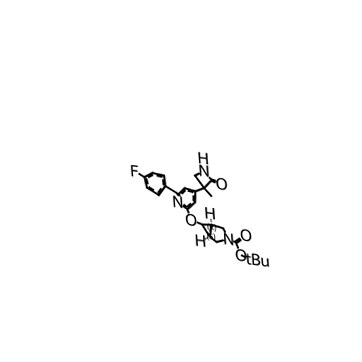 CC(C)(C)OC(=O)N1C[C@@H]2C(Oc3cc(C4(C)CNC4=O)cc(-c4ccc(F)cc4)n3)[C@@H]2C1